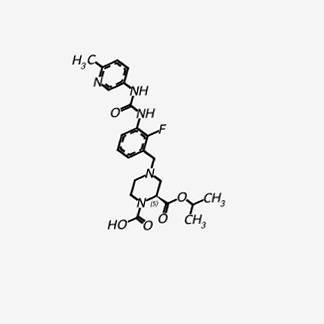 Cc1ccc(NC(=O)Nc2cccc(CN3CCN(C(=O)O)[C@H](C(=O)OC(C)C)C3)c2F)cn1